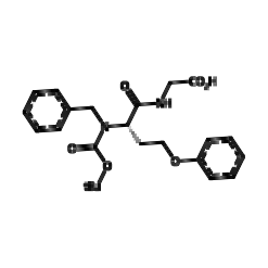 CC(C)(C)OC(=O)N(Cc1ccccc1)[C@@H](CCOc1ccccc1)C(=O)NCC(=O)O